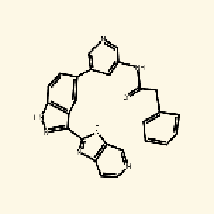 O=C(Cc1ccccc1)Nc1cncc(-c2ccc3[nH]nc(-c4nc5ccncc5[nH]4)c3c2)c1